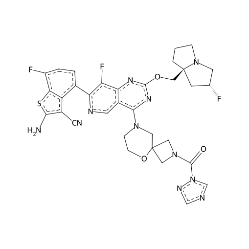 N#Cc1c(N)sc2c(F)ccc(-c3ncc4c(N5CCOC6(CN(C(=O)n7cncn7)C6)C5)nc(OC[C@@]56CCCN5C[C@H](F)C6)nc4c3F)c12